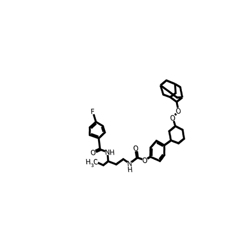 CCC(CCNC(=O)Oc1ccc(C2CCCC(OOC3C4CC5CC(C4)CC3C5)C2)cc1)NC(=O)c1ccc(F)cc1